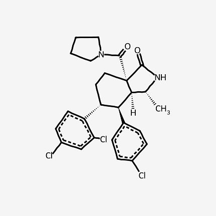 C[C@H]1NC(=O)[C@]2(C(=O)N3CCCC3)CC[C@@H](c3ccc(Cl)cc3Cl)[C@H](c3ccc(Cl)cc3)[C@H]12